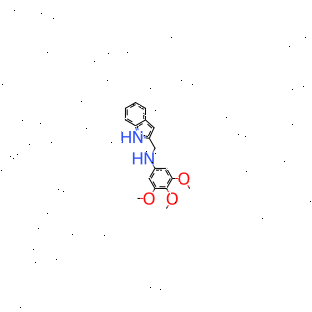 COc1cc(NCc2cc3ccccc3[nH]2)cc(OC)c1OC